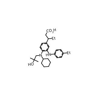 CCc1ccc(Nc2cc(C(CC)CC(=O)O)ccc2N(CC(C)(C)O)C2CCCCC2)cc1